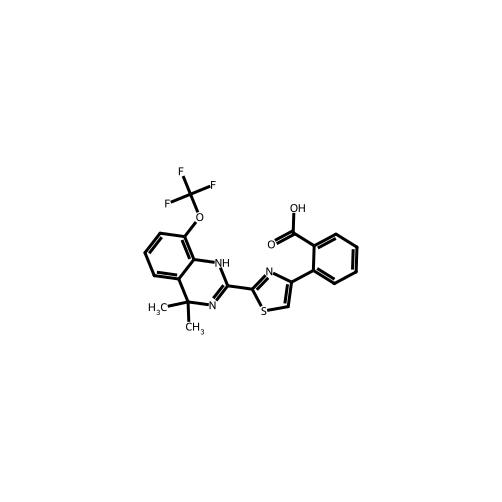 CC1(C)N=C(c2nc(-c3ccccc3C(=O)O)cs2)Nc2c(OC(F)(F)F)cccc21